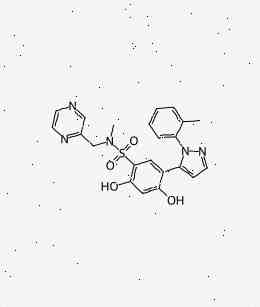 Cc1ccccc1-n1nccc1-c1cc(S(=O)(=O)N(C)Cc2cnccn2)c(O)cc1O